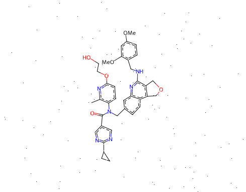 COc1ccc(CNc2nc3cc(CN(C(=O)c4cnc(C5CC5)nc4)c4ccc(OCCO)nc4C)ccc3c3c2COC3)c(OC)c1